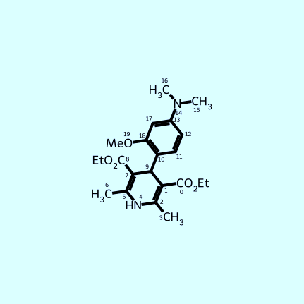 CCOC(=O)C1=C(C)NC(C)=C(C(=O)OCC)C1c1ccc(N(C)C)cc1OC